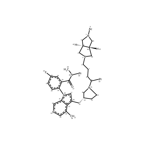 CC(=O)N1C[C@@H]2CN(CCCC(C(C)C)N3CC[C@H](Cc4cn(-c5ccc(F)cc5C(=O)N(C)C(C)C)c5cncc(C)c45)C3)C[C@H]2C1